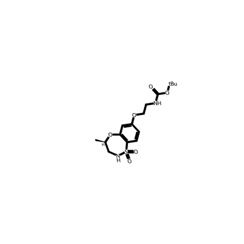 C[C@@H]1CNS(=O)(=O)c2ccc(OCCNC(=O)OC(C)(C)C)cc2O1